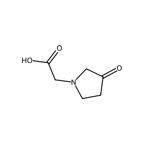 O=C(O)CN1CCC(=O)C1